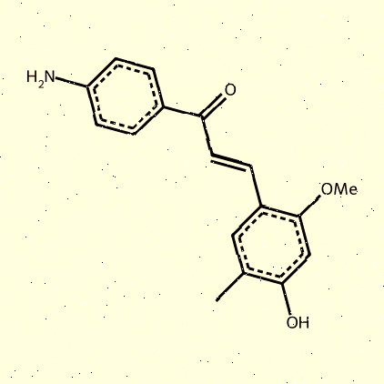 COc1cc(O)c(C)cc1C=CC(=O)c1ccc(N)cc1